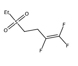 CCS(=O)(=O)CCC(F)=C(F)F